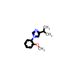 COc1ccccc1-n1cnc(C(C)C)c1